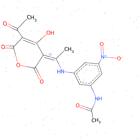 CC(=O)Nc1cc(N/C(C)=C2\C(=O)OC(=O)C(C(C)=O)=C2O)cc([N+](=O)[O-])c1